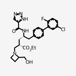 CCOC(=O)[C@@H](C[C@@H](Cc1ccc(-c2cc(Cl)ccc2F)cc1)NC(=O)c1cnn[nH]1)CN1CCC1CO